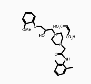 COc1ccccc1OCC(O)CN1CCN(CC(=O)Nc2c(C)cccc2C)CC1.O=C(O)/C=C\C(=O)O